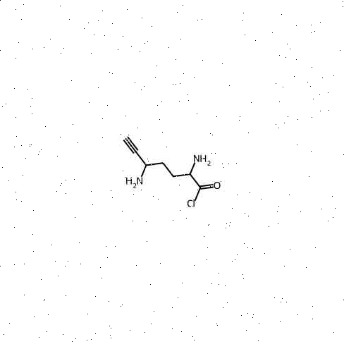 C#CC(N)CCC(N)C(=O)Cl